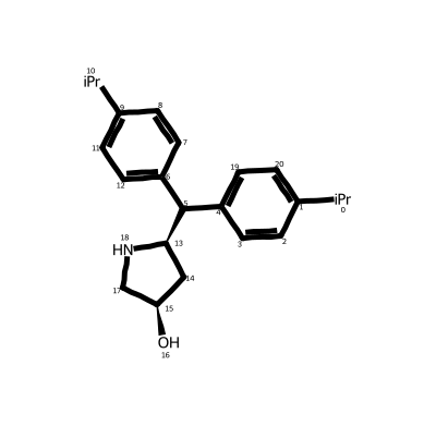 CC(C)c1ccc(C(c2ccc(C(C)C)cc2)[C@H]2C[C@@H](O)CN2)cc1